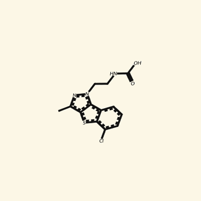 Cc1nn(CCNC(=O)O)c2c1sc1c(Cl)cccc12